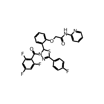 O=C(COc1ccccc1C1SC(c2ccc(F)cc2)=NN1C(=O)c1c(F)cc(F)cc1F)Nc1ccccn1